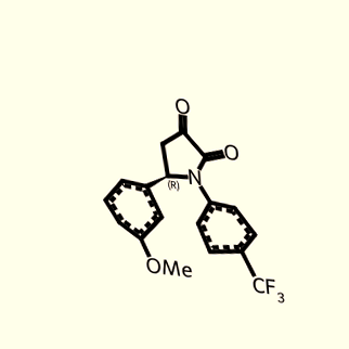 COc1cccc([C@H]2CC(=O)C(=O)N2c2ccc(C(F)(F)F)cc2)c1